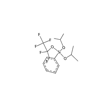 CC(C)O[Si](OC(C)C)(OC(F)(CF)C(F)(F)F)c1ccccc1